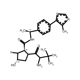 Cc1ncsc1-c1ccc([C@H](C)NC(=O)[C@H]2C(C(=O)C(N)C(C)(C)C)C[C@H](O)C2F)cc1